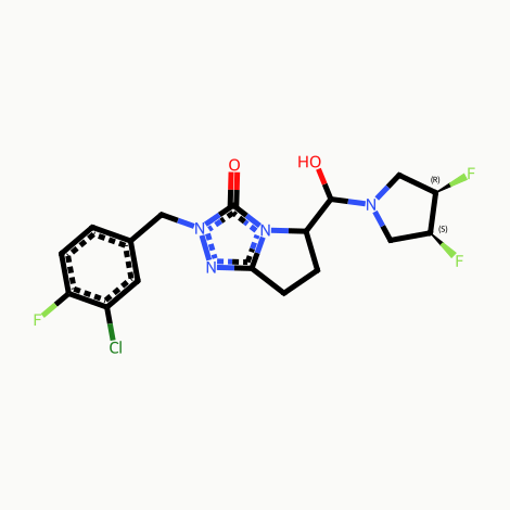 O=c1n(Cc2ccc(F)c(Cl)c2)nc2n1C(C(O)N1C[C@@H](F)[C@@H](F)C1)CC2